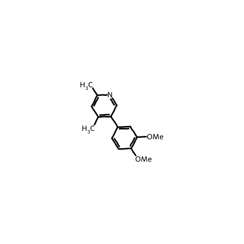 COc1ccc(-c2cnc(C)cc2C)cc1OC